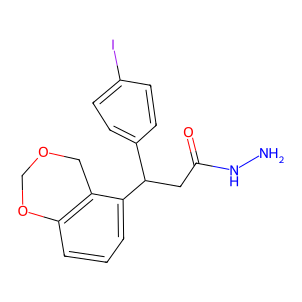 NNC(=O)CC(c1ccc(I)cc1)c1cccc2c1COCO2